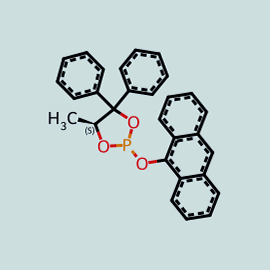 C[C@@H]1OP(Oc2c3ccccc3cc3ccccc23)OC1(c1ccccc1)c1ccccc1